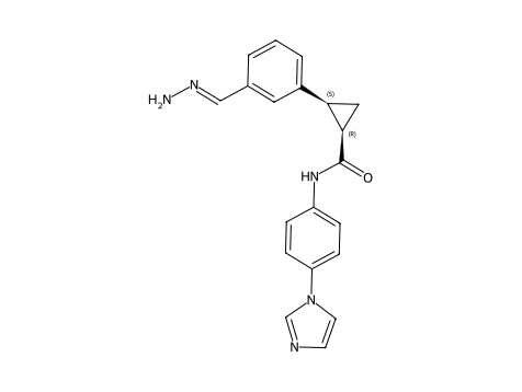 NN=Cc1cccc([C@H]2C[C@H]2C(=O)Nc2ccc(-n3ccnc3)cc2)c1